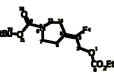 CCOC(=O)OCC(F)=C1CCN(C(=O)OC(C)(C)C)CC1